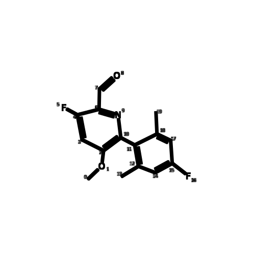 COc1cc(F)c(C=O)nc1-c1c(C)cc(F)cc1C